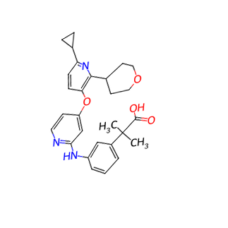 CC(C)(C(=O)O)c1cccc(Nc2cc(Oc3ccc(C4CC4)nc3C3CCOCC3)ccn2)c1